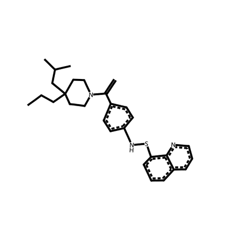 C=C(c1ccc(NSc2cccc3cccnc23)cc1)N1CCC(CCC)(CC(C)C)CC1